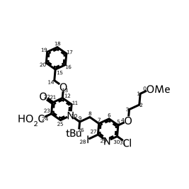 COCCCOc1cc(CC(n2cc(OCc3ccccc3)c(=O)c(C(=O)O)c2)C(C)(C)C)c(I)nc1Cl